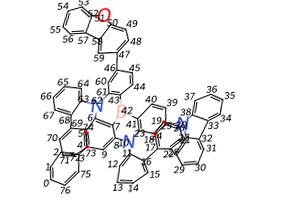 c1ccc(-c2cc3c4c(c2)N(c2ccccc2-c2ccccc2)c2cc(-n5c6ccccc6c6ccccc65)ccc2B4c2ccc(-c4ccc5oc6ccccc6c5c4)cc2N3c2ccccc2-c2ccccc2)cc1